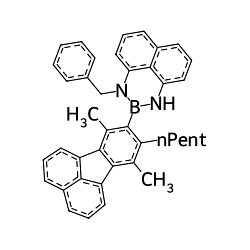 CCCCCc1c(C)c2c(c(C)c1B1Nc3cccc4cccc(c34)N1Cc1ccccc1)-c1cccc3cccc-2c13